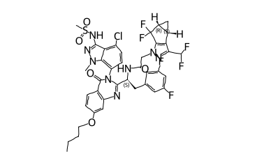 CCCCOc1ccc2c(=O)n(-c3ccc(Cl)c4c(NS(C)(=O)=O)nn(C)c34)c([C@H](Cc3cc(F)cc(F)c3)NC(=O)Cn3nc(C(F)F)c4c3C(F)(F)[C@@H]3C[C@H]43)nc2c1